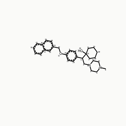 CN1CCN(CC(c2ccc(OCc3ccc4ccccc4c3)cc2)C2(O)CCCCC2)CC1